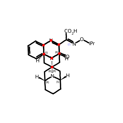 CC(C)O/N=C(\C(=O)O)c1nc2ccccc2n([C@H]2C[C@H]3CCC[C@@H](C2)N3[C@H]2C[C@@H]3CCC[C@@H](C3)C2)c1=O